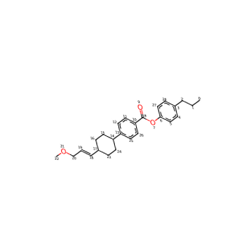 CCCc1ccc(OC(=O)c2ccc(C3CCC(/C=C/COC)CC3)cc2)cc1